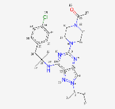 CCC(C)n1cc2nc(N3CCN(C(C)=O)CC3)nc(NC(C)(C)Cc3ccc(Cl)cc3)c2n1